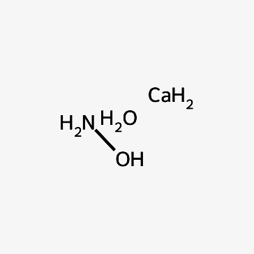 NO.O.[CaH2]